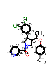 CC(Oc1ccc(C(F)(F)F)cc1)C1CN(C(=O)c2cccnc2)CC1c1ccc(Cl)c(Cl)c1